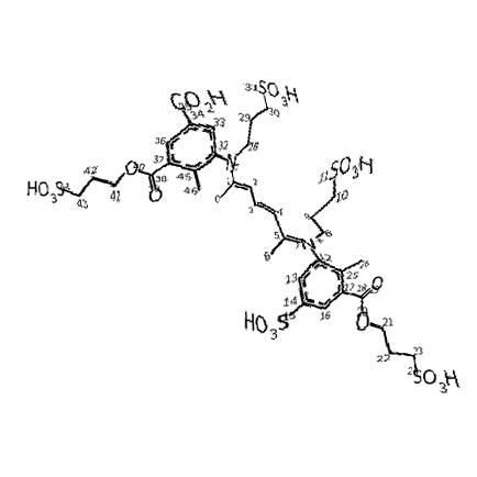 C\C(=C/C=C/C(C)=[N+](\CCCS(=O)(=O)O)c1cc(S(=O)(=O)O)cc(C(=O)OCCCS(=O)(=O)O)c1C)N(CCCS(=O)(=O)O)c1cc(C(=O)O)cc(C(=O)OCCCS(=O)(=O)O)c1C